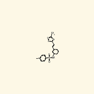 Cc1ccc(S(=O)(=O)Nc2cccc(C=Cc3noc(C(F)(F)F)n3)c2)cc1